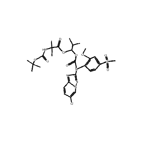 COc1cc(S(C)(=O)=O)ccc1N(C(=O)OC(OC(=O)C(C)(C)NC(=O)OC(C)(C)C)C(C)C)c1nc2ccc(Cl)cn2n1